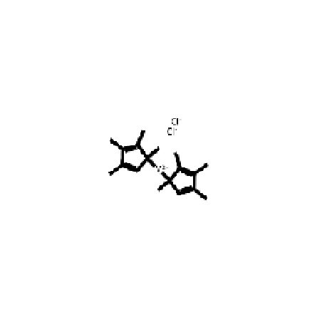 CC1=C[C](C)([V+2][C]2(C)C=C(C)C(C)=C2C)C(C)=C1C.[Cl-].[Cl-]